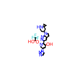 O=C(O)C(F)(F)F.Oc1cc(-n2ccnn2)cnc1-c1cc2ccn([C@H]3CCNC4(CC4)C3)c2nn1